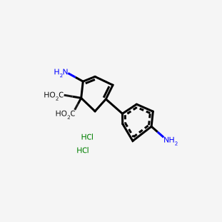 Cl.Cl.NC1=CC=C(c2ccc(N)cc2)CC1(C(=O)O)C(=O)O